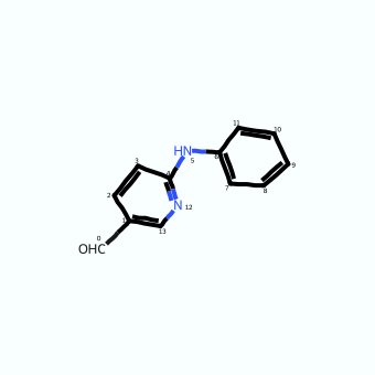 O=Cc1ccc(Nc2ccccc2)nc1